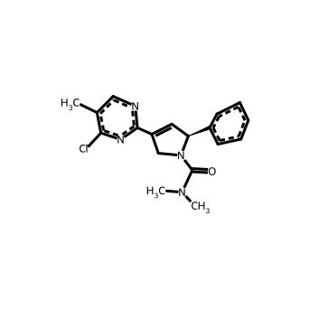 Cc1cnc(C2=C[C@@H](c3ccccc3)N(C(=O)N(C)C)C2)nc1Cl